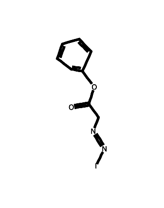 O=C(CN=NI)Oc1ccccc1